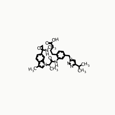 CNC1(c2ccc3c(C)cn([C@@H](C)C(=O)Nc4cc(Cn5cc(C(C)C)nn5)ccc4CCCC(=O)O)c3c2)CO1